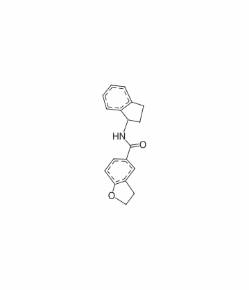 O=C(NC1CCc2ccccc21)c1ccc2c(c1)CCO2